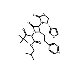 CC(C)COC(=O)C(C(=O)C(C)(C)C)N1C(=O)C(N2C(=O)OC[C@@H]2c2ccoc2)C1CCc1ccncc1